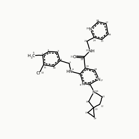 Cc1ccc(CNc2nc(N3CCC4(CC4)C3)ncc2C(=O)NCc2ccccn2)cc1Cl